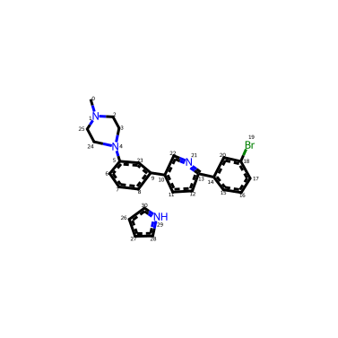 CN1CCN(c2cccc(-c3ccc(-c4cccc(Br)c4)nc3)c2)CC1.c1cc[nH]c1